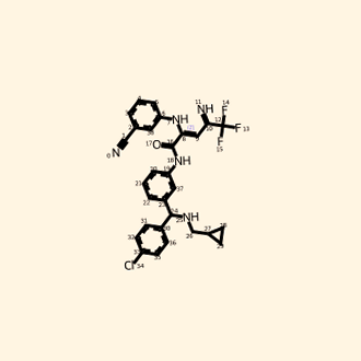 N#Cc1cccc(N/C(=C\C(=N)C(F)(F)F)C(=O)Nc2cccc(C(NCC3CC3)c3ccc(Cl)cc3)c2)c1